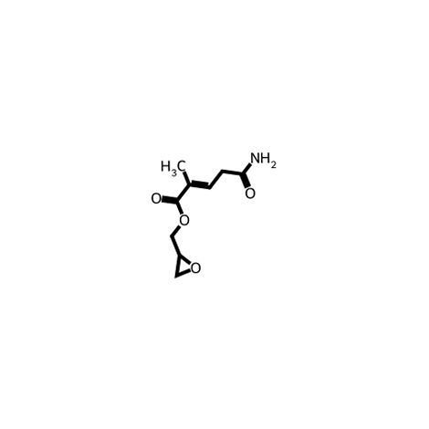 CC(=CCC(N)=O)C(=O)OCC1CO1